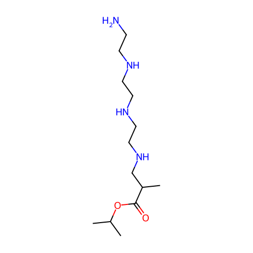 CC(C)OC(=O)C(C)CNCCNCCNCCN